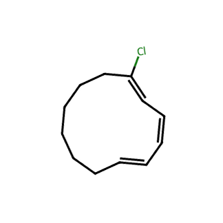 Cl\C1=C/C=C\C=C\CCCCCC1